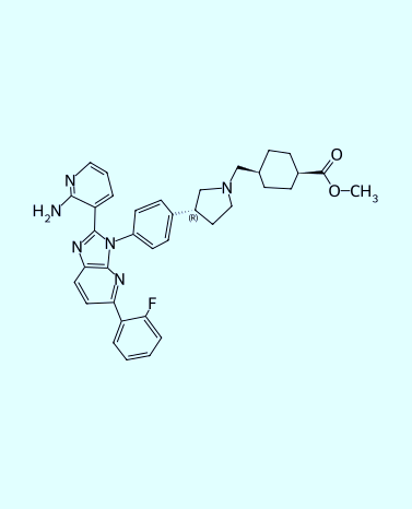 COC(=O)[C@H]1CC[C@@H](CN2CC[C@H](c3ccc(-n4c(-c5cccnc5N)nc5ccc(-c6ccccc6F)nc54)cc3)C2)CC1